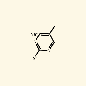 Cc1cnc([S-])nc1.[Na+]